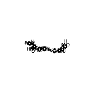 O=C1CCC(N2Cc3cc(N4CCN(CCCOC5CCN(c6ccc(Nc7ccc(-c8cnc9cc(F)ccn89)c8c7C(=O)NC8)nc6)CC5)CC4)ccc3C2=O)C(=O)N1